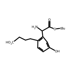 CC(C)(C)OC(=O)C(N)c1cc(O)ccc1CCCC(=O)O